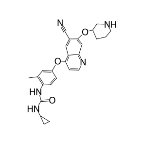 Cc1cc(Oc2ccnc3cc(OC4CCCNC4)c(C#N)cc23)ccc1NC(=O)NC1CC1